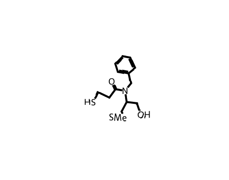 CSCC(CO)N(Cc1ccccc1)C(=O)CCS